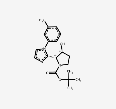 Cc1cccc(-n2ccnc2[C@@H]2[C@@H](O)CCN2C(=O)OC(C)(C)C)c1